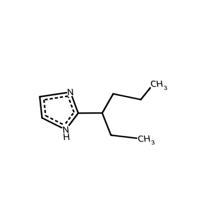 CCCC(CC)c1ncc[nH]1